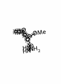 COCCCOc1cc(CCC(=O)NC(=N)N)ccc1-c1ccc(C(=O)N2CCC3(CCCC3)CC2)cc1